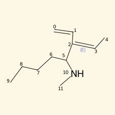 C=C/C(=C\C)C(CCCC)NC